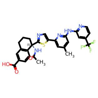 CC(=O)N[C@@]1(c2ncc(-c3cc(C)cc(Nc4cc(C(F)(F)F)ccn4)n3)s2)CCCc2cc(C(=O)O)ccc21